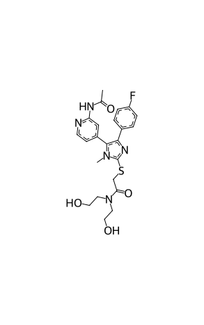 CC(=O)Nc1cc(-c2c(-c3ccc(F)cc3)nc(SCC(=O)N(CCO)CCO)n2C)ccn1